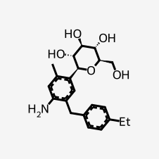 CCc1ccc(Cc2cc([C@@H]3O[C@H](CO)[C@@H](O)[C@H](O)[C@H]3O)c(C)cc2N)cc1